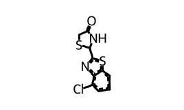 O=C1CSC(c2nc3c(Cl)cccc3s2)N1